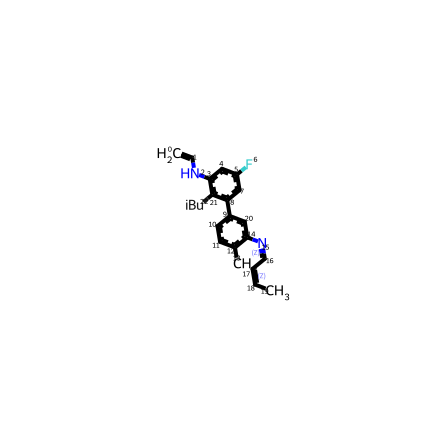 C=CNc1cc(F)cc(-c2ccc(C)c(/N=C\C=C/C)c2)c1C(C)CC